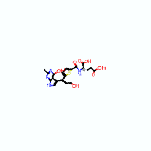 Cc1nc(O)c2c(C(CCO)c3ccc(C(=O)N[C@@H](CCC(=O)O)C(=O)O)s3)c[nH]c2n1